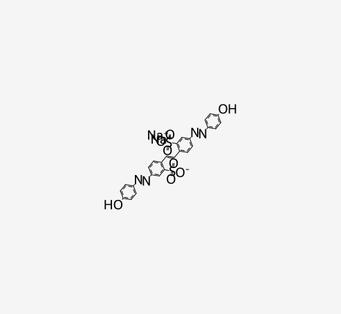 O=S(=O)([O-])c1cc(/N=N/c2ccc(O)cc2)ccc1/C=C/c1ccc(/N=N/c2ccc(O)cc2)cc1S(=O)(=O)[O-].[Na+].[Na+]